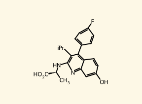 CC(C)c1c(N[C@@H](C)C(=O)O)nc2cc(O)ccc2c1-c1ccc(F)cc1